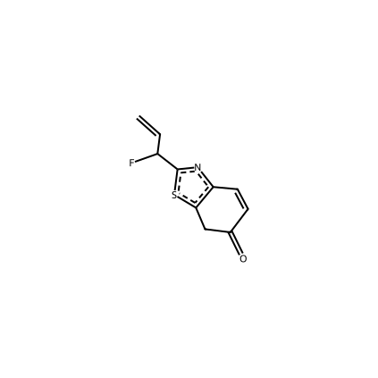 C=CC(F)c1nc2c(s1)CC(=O)C=C2